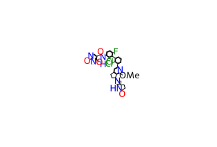 COc1nc(-c2cccc(-c3c(F)ccc(NC(=O)c4cn(C)c(=O)n(C)c4=O)c3Cl)c2Cl)cc2c1[C@@H](N1CC3(CCC(=O)N3)C1)CC2